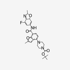 Cc1cc2c(N3CCN(C(=O)OC(C)(C)C)CC3)ccc(C(=O)NC3=CC4OC(C)N=C4C(F)=C3)c2o1